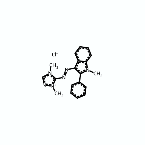 Cn1cn[n+](C)c1N=Nc1c(-c2ccccc2)n(C)c2ccccc12.[Cl-]